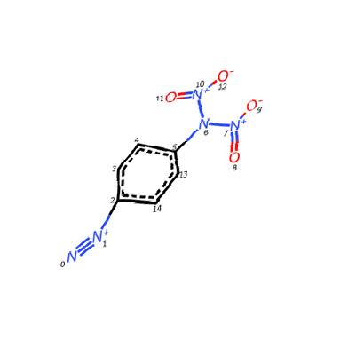 N#[N+]c1ccc(N([N+](=O)[O-])[N+](=O)[O-])cc1